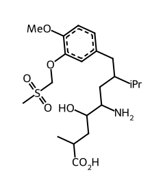 COc1ccc(CC(CC(N)C(O)CC(C)C(=O)O)C(C)C)cc1OCS(C)(=O)=O